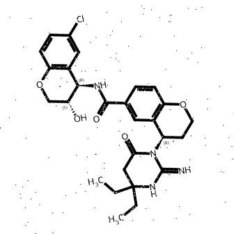 CCC1(CC)CC(=O)N([C@@H]2CCOc3ccc(C(=O)N[C@@H]4c5cc(Cl)ccc5OC[C@H]4O)cc32)C(=N)N1